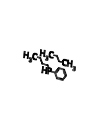 CCCC.CCCCPc1ccccc1